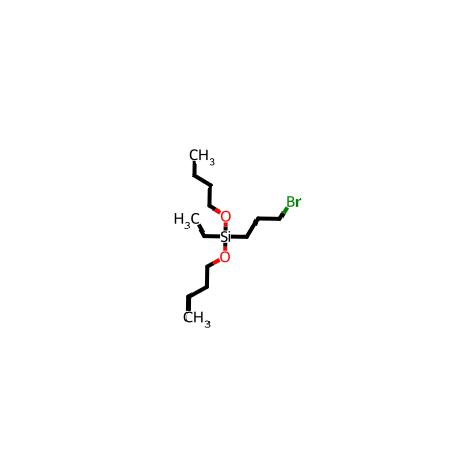 CCCCO[Si](CC)(CCCBr)OCCCC